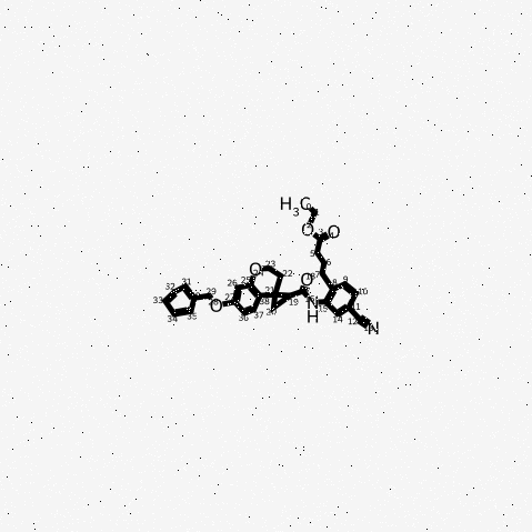 CCOC(=O)CCCc1ccc(C#N)cc1NC(=O)C1CC12CCOc1cc(OCc3ccccc3)ccc12